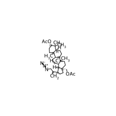 C=C(CN=[N+]=[N-])[C@@H]1CC[C@]2(COC(C)=O)CC[C@]3(C)C(CCC4[C@@]5(C)CC[C@H](OC(C)=O)C(C)(C)[C@@H]5CC[C@]43C)[C@@H]12